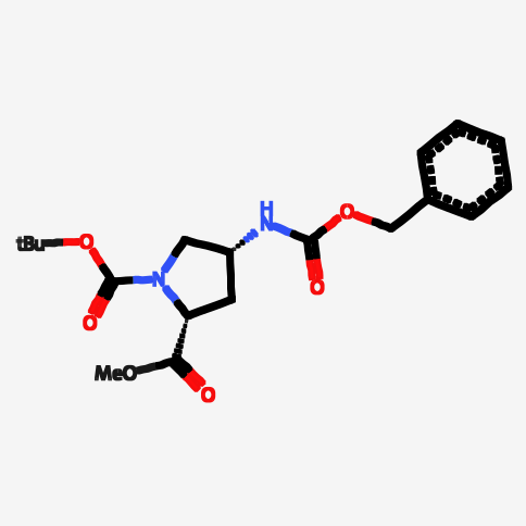 COC(=O)[C@H]1C[C@@H](NC(=O)OCc2ccccc2)CN1C(=O)OC(C)(C)C